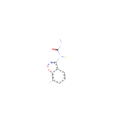 CCCCCCCCNC(=O)N(S)c1noc2c(F)cccc12